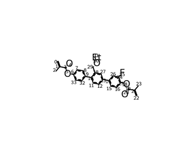 C=C(C)C(=O)Oc1ccc(-c2ccc(-c3ccc(OC(=O)C(=C)C)c(F)c3)cc2COCC)cc1